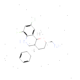 NC[C@H]1CC[C@@H]2[C@H](O1)c1cc(Cl)cc(F)c1N[C@H]2C1C=CC=CC1